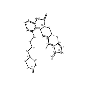 C=C(Nc1cccc(OCCCN2CCNCC2)c1)N1CC=C(/C(C)=C2/C(=N)NC=C2C)CC1